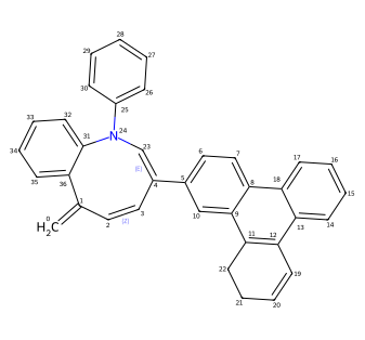 C=C1/C=C\C(c2ccc3c(c2)c2c(c4ccccc43)C=CCC2)=C/N(c2ccccc2)c2ccccc21